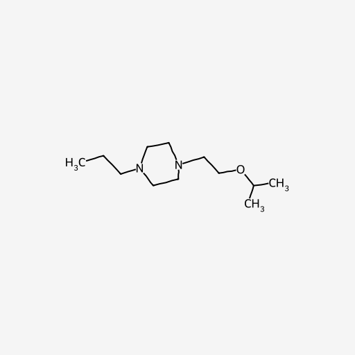 CCCN1CCN(CCOC(C)C)CC1